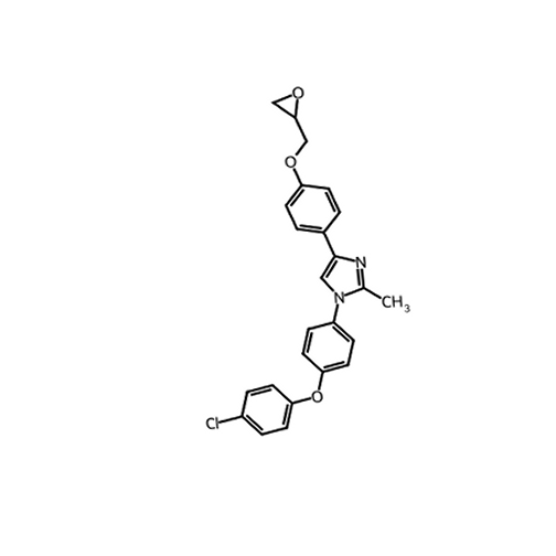 Cc1nc(-c2ccc(OCC3CO3)cc2)cn1-c1ccc(Oc2ccc(Cl)cc2)cc1